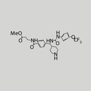 COC(=O)CCNC(=O)c1ccc(C(NC(=O)Nc2ccc(OC(F)(F)F)cc2)C2CCNCC2)cc1